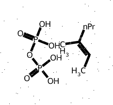 CC=C(C)CCC.O=P(O)(O)OP(=O)(O)O